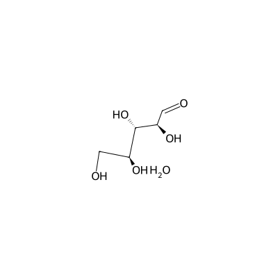 O.O=C[C@@H](O)[C@@H](O)[C@@H](O)CO